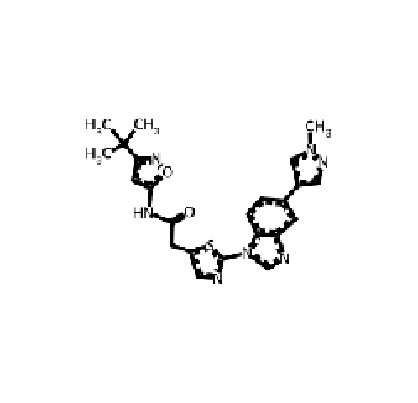 Cn1cc(-c2ccc3c(c2)ncn3-c2ncc(CC(=O)Nc3cc(C(C)(C)C)no3)s2)cn1